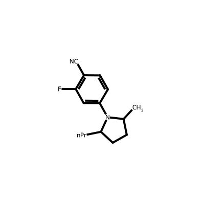 CCCC1CCC(C)N1c1ccc(C#N)c(F)c1